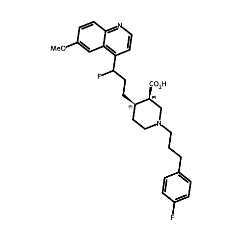 COc1ccc2nccc(C(F)CC[C@@H]3CCN(CCCc4ccc(F)cc4)C[C@@H]3C(=O)O)c2c1